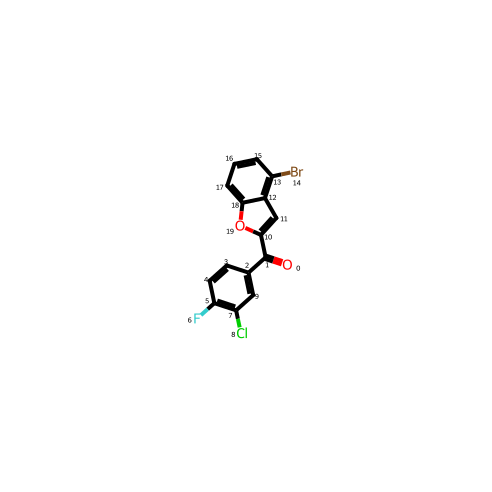 O=C(c1ccc(F)c(Cl)c1)c1cc2c(Br)cccc2o1